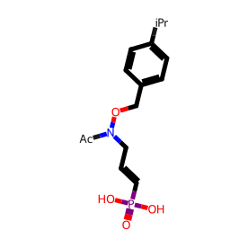 CC(=O)N(C/C=C/P(=O)(O)O)OCc1ccc(C(C)C)cc1